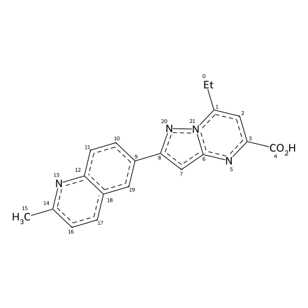 CCc1cc(C(=O)O)nc2cc(-c3ccc4nc(C)ccc4c3)nn12